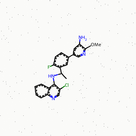 COc1ncc(-c2ccc(F)c(C(C)Nc3c(Cl)cnc4ccccc34)c2)cc1N